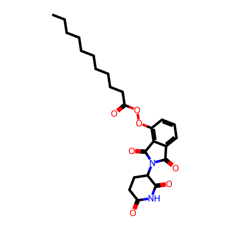 CCCCCCCCCCC(=O)OOc1cccc2c1C(=O)N(C1CCC(=O)NC1=O)C2=O